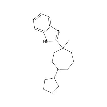 CC1(c2nc3ccccc3[nH]2)CCCN(C2CCCC2)CC1